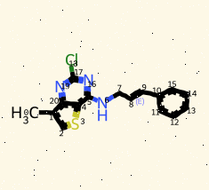 Cc1csc2c(NC/C=C/c3ccccc3)nc(Cl)nc12